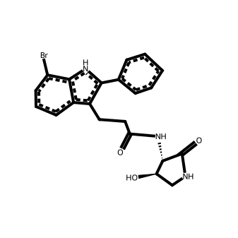 O=C(CCc1c(-c2ccccc2)[nH]c2c(Br)cccc12)N[C@@H]1C(=O)NC[C@H]1O